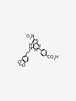 O=C(O)c1ccc(-c2nc(NCCc3ccc4c(c3)OCO4)c3cc([N+](=O)[O-])sc3n2)cc1